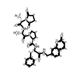 C[C@H](NC(=O)[C@H](C)N1C(=O)CCC1=O)C(=O)N1CCC[C@H]1C(=O)N[C@@H](Cc1ccccc1)C(=O)NCc1ccc2ccc(=O)oc2c1